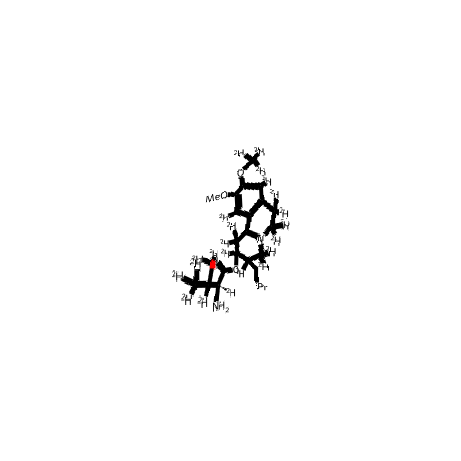 [2H]c1c(OC)c(OC([2H])([2H])[2H])c([2H])c2c1C1N(C([2H])([2H])C2([2H])[2H])C([2H])([2H])C([2H])(CC(C)C)C([2H])(OC(=O)[C@@]([2H])(N)C([2H])(C([2H])([2H])[2H])C([2H])([2H])[2H])C1([2H])[2H]